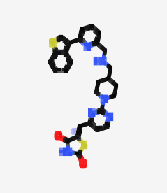 O=C1NC(=O)/C(=C/c2ccnc(N3CCC(CNCc4cccc(-c5csc6ccccc56)n4)CC3)n2)S1